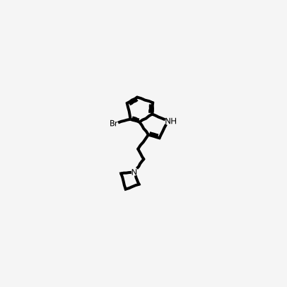 Brc1cccc2[nH]cc(CCN3CCC3)c12